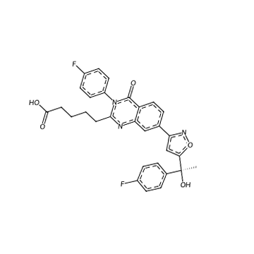 C[C@](O)(c1ccc(F)cc1)c1cc(-c2ccc3c(=O)n(-c4ccc(F)cc4)c(CCCCC(=O)O)nc3c2)no1